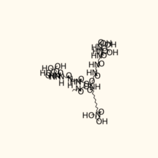 CCCNC(=O)CCOCC(COCCC(=O)NCCCNC(=O)CCNC(=O)NC1OC(CO)C(O)C(O)C1NC(C)=O)(COCCC(=O)NCCCNC(=O)CCNC(=O)NC1OC(CO)C(O)C(O)C1NC(C)=O)NC(=O)CCCCCCCCCCC(=O)N1CC(O)C[C@H]1CO